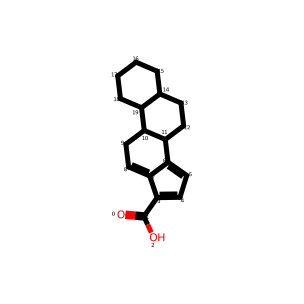 O=C(O)C1=CC=C2C1=CCC1C2CCC2CCCCC21